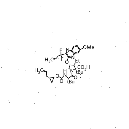 C=CC[C@@H]1C[C@H]1OC(=O)N[C@H](C(=O)N1C[C@H](Oc2nc3cc(OC)ccc3nc2C(F)(F)CC=C)[C@@H](CC)[C@@]1(C(=O)O)C(C)(C)C)C(C)(C)C